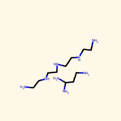 NCCC(N)N.NCCNCCNCCNCCN